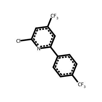 FC(F)(F)c1ccc(-c2cc(C(F)(F)F)cc(Cl)n2)cc1